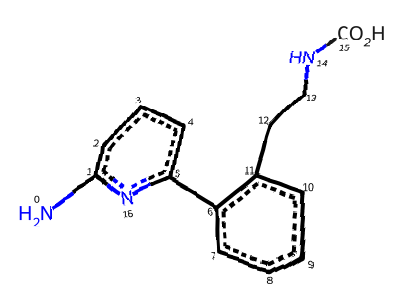 Nc1cccc(-c2ccccc2CCNC(=O)O)n1